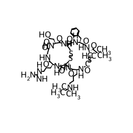 CC(C)(C)NCCCC[C@@H]1NC(=O)CSC[C@@H](C(=O)C(C)(C)C)NC(=O)[C@H](Cc2ccccc2)NC(=O)[C@@H]2CSSC[C@H](NC1=O)C(=O)N[C@@H](CCCNC(=N)N)C(=O)NCC(=O)N[C@@H](CC(=O)O)C(=O)N2